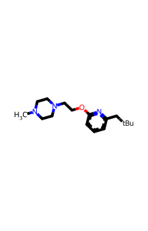 CN1CCN(CCOc2cccc(CC(C)(C)C)n2)CC1